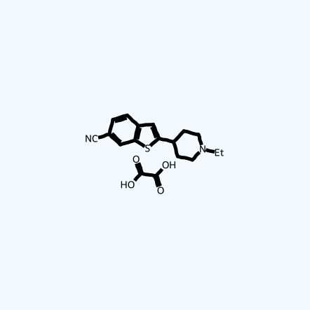 CCN1CCC(c2cc3ccc(C#N)cc3s2)CC1.O=C(O)C(=O)O